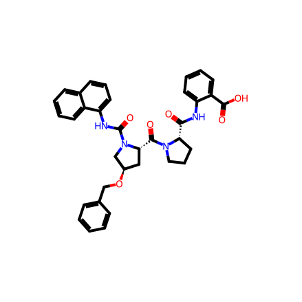 O=C(O)c1ccccc1NC(=O)[C@@H]1CCCN1C(=O)[C@@H]1C[C@@H](OCc2ccccc2)CN1C(=O)Nc1cccc2ccccc12